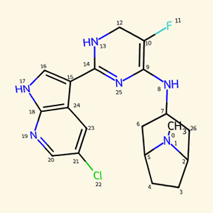 CN1C2CCC1CC(NC1=C(F)CNC(c3c[nH]c4ncc(Cl)cc34)=N1)C2